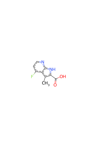 Cc1c(C(=O)O)[nH]c2nccc(F)c12